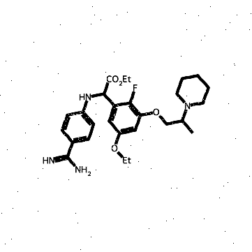 CCOC(=O)C(Nc1ccc(C(=N)N)cc1)c1cc(OCC)cc(OCC(C)N2CCCCC2)c1F